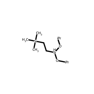 CC(C)O[SiH](CC[Si](C)(C)C)OC(C)C